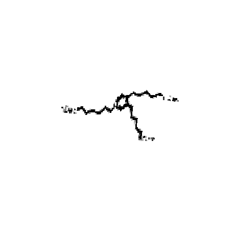 CCCCCCCCCCCCCCCC[n+]1ccc(CCCCCCCCCCCCCCC)c(CCCCCCCCCCCCCCC)c1